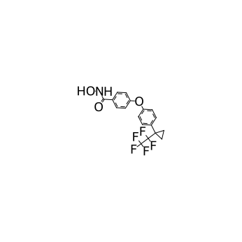 O=C(NO)c1ccc(Oc2ccc(C3(C(F)(F)C(F)(F)F)CC3)cc2)cc1